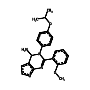 COc1ccccc1C1=Nc2occc2C(N)N1c1ccc(OC(C)C)cc1